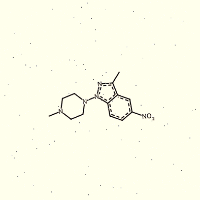 Cc1nn(N2CCN(C)CC2)c2ccc([N+](=O)[O-])cc12